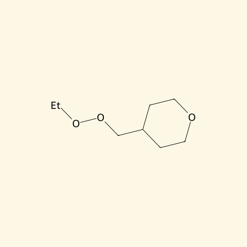 CCOOCC1CCOCC1